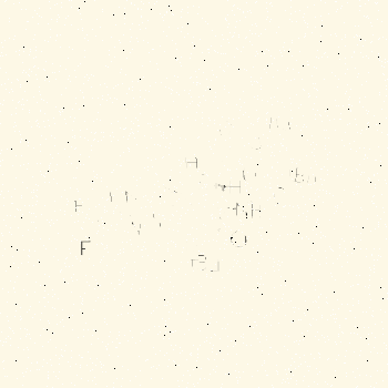 CC(C)(C)OC(=O)N[C@@]1(C(=O)OC(C)(C)C)C[C@@H](Sc2nnc(C(F)F)[nH]2)[C@H]2[C@H](C(=O)OC(C)(C)C)[C@H]21